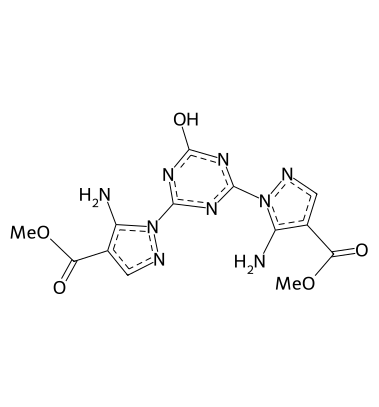 COC(=O)c1cnn(-c2nc(O)nc(-n3ncc(C(=O)OC)c3N)n2)c1N